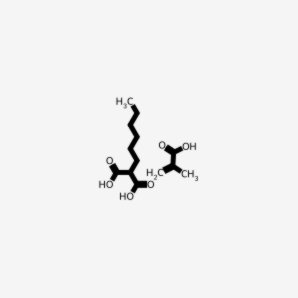 C=C(C)C(=O)O.CCCCCCC(C(=O)O)C(=O)O